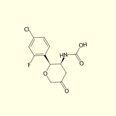 O=C1CO[C@@H](c2ccc(Cl)cc2F)[C@@H](NC(=O)O)C1